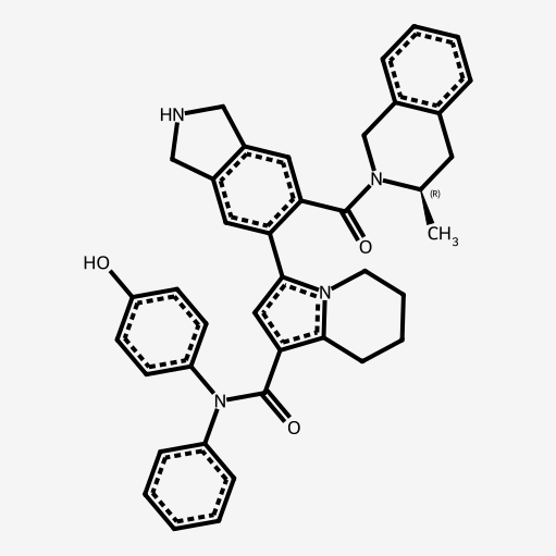 C[C@@H]1Cc2ccccc2CN1C(=O)c1cc2c(cc1-c1cc(C(=O)N(c3ccccc3)c3ccc(O)cc3)c3n1CCCC3)CNC2